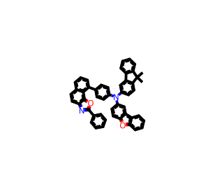 CC1(C)c2ccccc2-c2cc(N(c3ccc(-c4cccc5ccc6nc(-c7ccccc7)oc6c45)cc3)c3ccc4oc5ccccc5c4c3)ccc21